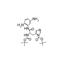 CC(C)(C)OC(=O)NC(Cc1cncn1C(=O)OC(C)(C)C)C(=O)Nc1cc(N)ccc1N